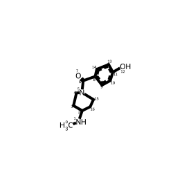 CNC1CCN(C(=O)c2ccc(O)cc2)CC1